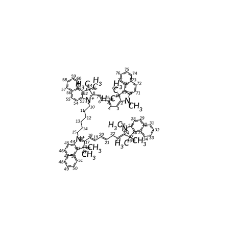 CN1C(=CC=CC=CC2=[N+](CCCCCC[N+]3=C(C=CC=CCC=C4N(C)c5ccc6ccccc6c5C4(C)C)C(C)(C)c4c3ccc3ccccc43)c3ccc4ccccc4c3C2(C)C)C(C)(C)c2c1ccc1ccccc21